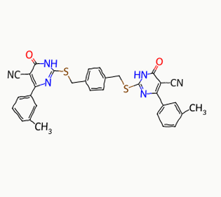 Cc1cccc(-c2nc(SCc3ccc(CSc4nc(-c5cccc(C)c5)c(C#N)c(=O)[nH]4)cc3)[nH]c(=O)c2C#N)c1